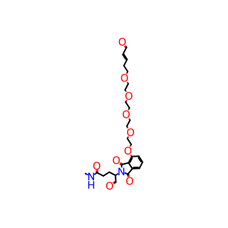 CNC(=O)CCC(C=O)N1C(=O)c2cccc(OCCOCCOCCOCCOCC/C=C/C=O)c2C1=O